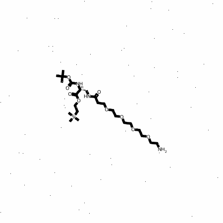 CC(C)(C)OC(=O)N[C@H](CNC(=O)CCOCCOCCOCCOCCN)C(=O)OCC[Si](C)(C)C